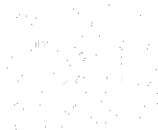 CC(C)CCC[C@@H](C)[C@H]1CC=C2C3=C(CC[C@@]21C)[C@@]1(C)CC[C@H](O)C(C)C1CC3